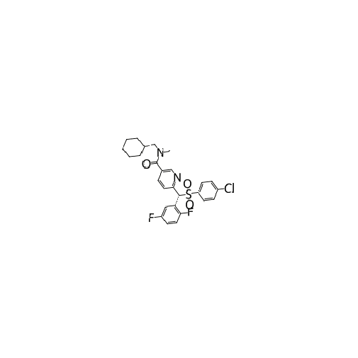 CN(CC1CCCCC1)C(=O)c1ccc(C(c2cc(F)ccc2F)S(=O)(=O)c2ccc(Cl)cc2)nc1